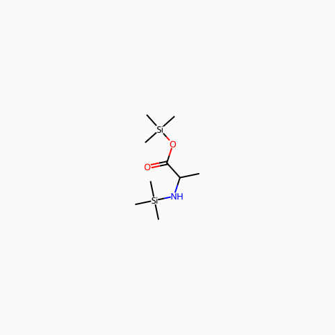 CC(N[Si](C)(C)C)C(=O)O[Si](C)(C)C